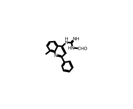 Cc1cccc2c(NC(=N)NC=O)cc(-c3ccccc3)nc12